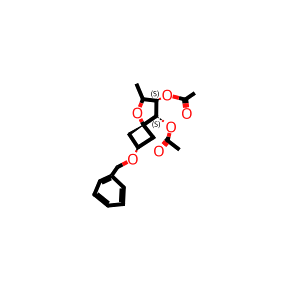 CC(=O)O[C@H]1C(C)O[C@]2(C[C@@H](OCc3ccccc3)C2)[C@H]1OC(C)=O